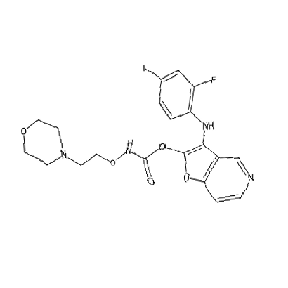 O=C(NOCCN1CCOCC1)Oc1oc2ccncc2c1Nc1ccc(I)cc1F